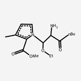 CCCCC(=O)C(N)C(OCC)n1ccc(C)c1C(=O)OC